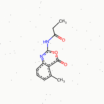 CCC(=O)Nc1nc2cccc(C)c2c(=O)o1